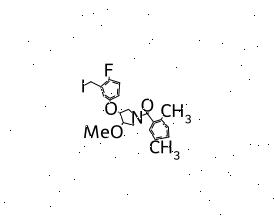 CO[C@@H]1CN(C(=O)c2cc(C)ccc2C)C[C@H]1Oc1ccc(F)c(CI)c1